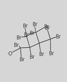 [O]C(Br)(Br)C(Br)(C(Br)(Br)Br)C(Br)(C(Br)(Br)Br)C(Br)(Br)Br